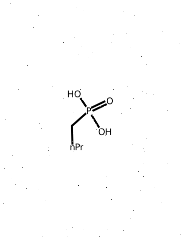 [CH2]CCCP(=O)(O)O